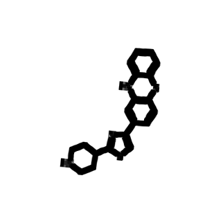 c1ccc2c(c1)Nc1cc(-c3csc(C4CCNCC4)n3)ccc1S2